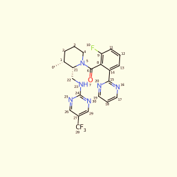 C[C@@H]1CCCN(C(=O)c2c(F)cccc2-c2ncccn2)[C@@H]1CNc1ncc(C(F)(F)F)cn1